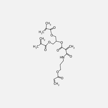 C=CC(=O)OCCCNC(=O)C(=C)C(=O)OC(COC(=O)C(=C)C)COC(=O)C(=C)C